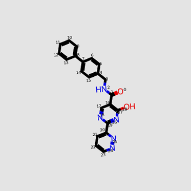 O=C(NCc1ccc(-c2ccccc2)cc1)c1cnc(-c2cccnn2)nc1O